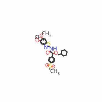 CCS(=O)(=O)c1ccc(C(OCC2CCCCC2)C(=O)Nc2nc3cc(OC)c(OC)cc3s2)cc1